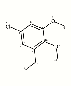 CCc1cc(Cl)cc(OC)c1OC